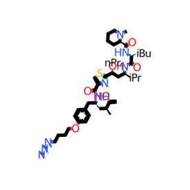 C=C(O)[C@@H](C)C[C@H](Cc1ccc(OCCCCN=[N+]=[N-])cc1)NC(=O)c1csc([C@H](O)C[C@H](C(C)C)N(CCC)C(=O)[C@@H](NC(=O)[C@H]2CCCCN2C)[C@@H](C)CC)n1